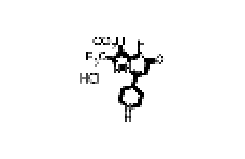 Cl.O=C(O)c1c(C(F)(F)F)nn2c(C3CCNCC3)cc(=O)[nH]c12